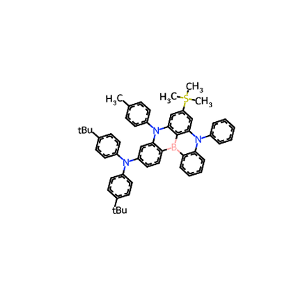 Cc1ccc(N2c3cc(N(c4ccc(C(C)(C)C)cc4)c4ccc(C(C)(C)C)cc4)ccc3B3c4ccccc4N(c4ccccc4)c4cc(S(C)(C)C)cc2c43)cc1